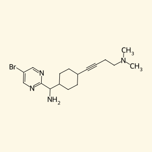 CN(C)CCC#CC1CCC(C(N)c2ncc(Br)cn2)CC1